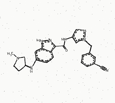 CN1CCC(Nc2ccc3c(C(=O)Nc4cnn(Cc5cccc(C#N)c5)c4)n[nH]c3c2)C1